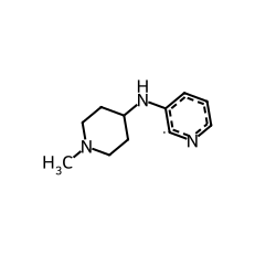 CN1CCC(Nc2[c]nccc2)CC1